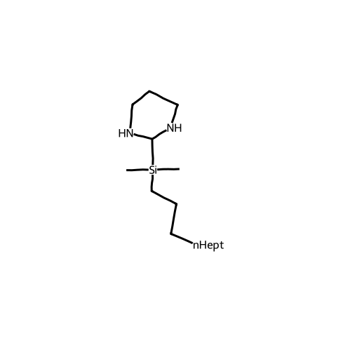 CCCCCCCCCC[Si](C)(C)C1NCCCN1